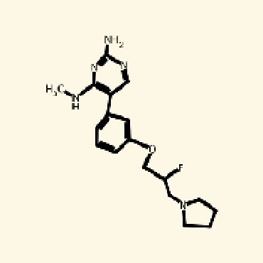 CNc1nc(N)ncc1-c1cccc(OCC(F)CN2CCCC2)c1